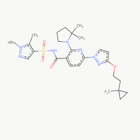 CCCCn1ncc(S(=O)(=O)NC(=O)c2ccc(-n3ccc(OCCC4(C(F)(F)F)CC4)n3)nc2N2CCCC2(C)C)c1C